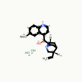 C=C[C@@H]1CN2CCC1C[C@H]2[C@@H](O)c1ccnc2ccc(OC)cc12.Cl.Cl